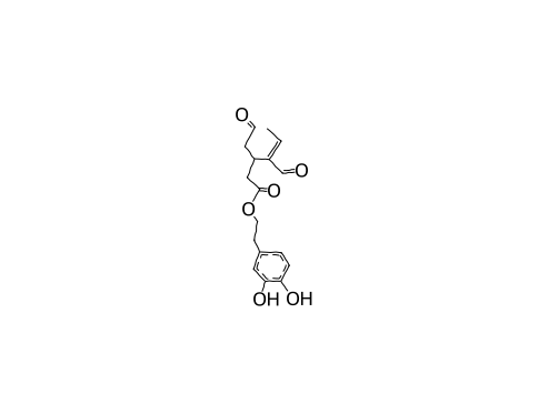 C/C=C(/C=O)C(CC=O)CC(=O)OCCc1ccc(O)c(O)c1